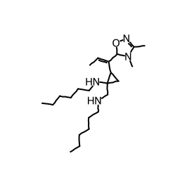 C/C=C(/C1ON=C(C)N1C)C1CC1(CNCCCCCC)NCCCCCC